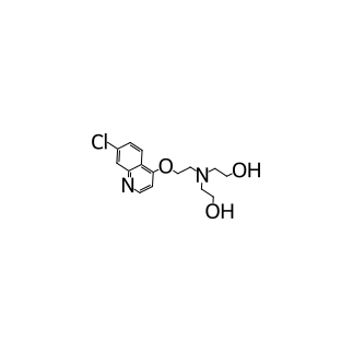 OCCN(CCO)CCOc1ccnc2cc(Cl)ccc12